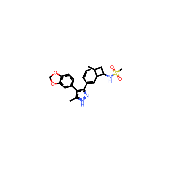 C/C=C\C(=C/C1C(C)CC1NS(C)(=O)=O)c1n[nH]c(C)c1-c1ccc2c(c1)OCO2